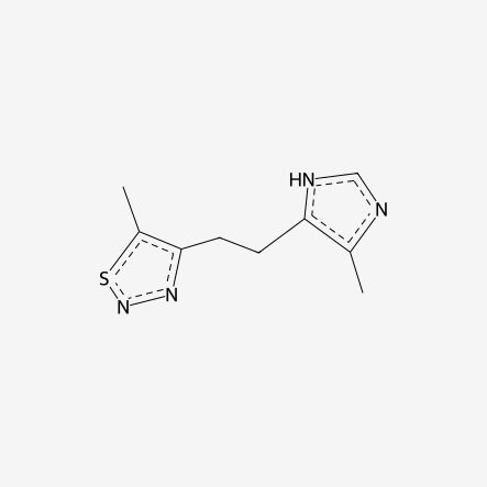 Cc1nc[nH]c1CCc1nnsc1C